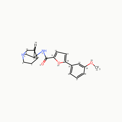 O=C(N[C@H]1CN2CCC1CC2)c1ccc(-c2cccc(OC(F)(F)F)c2)o1